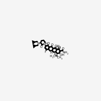 CN(C)[C@@H]1C(O)=C(C(N)=O)C(=O)[C@@]2(O)C(O)=C3C(=O)c4c(O)c(N5CCC[C@H](N(CC6CC6)CC6CC6)C5=O)cc(F)c4C[C@H]3C[C@@H]12